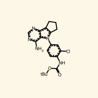 CC(C)(C)OC(=O)Nc1ccc(-n2c3c(c4ncnc(N)c42)CCC3)cc1Cl